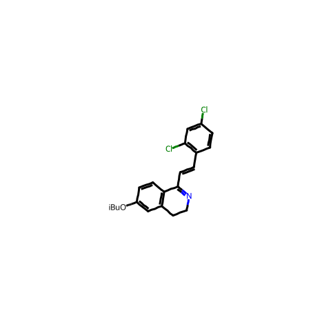 CC(C)COc1ccc2c(c1)CCN=C2C=Cc1ccc(Cl)cc1Cl